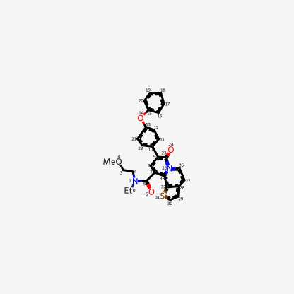 CCN(CCOC)C(=O)c1cc(-c2ccc(Oc3ccccc3)cc2)c(=O)n2ccc3ccsc3c12